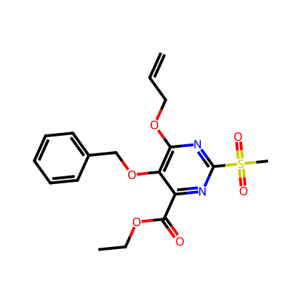 C=CCOc1nc(S(C)(=O)=O)nc(C(=O)OCC)c1OCc1ccccc1